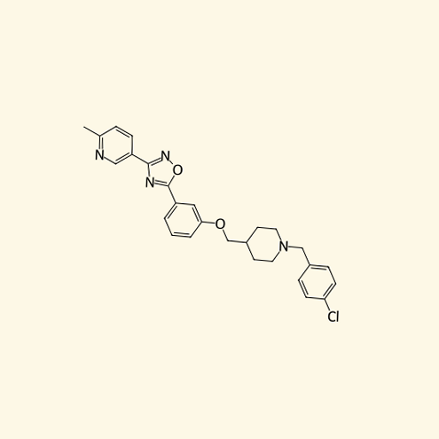 Cc1ccc(-c2noc(-c3cccc(OCC4CCN(Cc5ccc(Cl)cc5)CC4)c3)n2)cn1